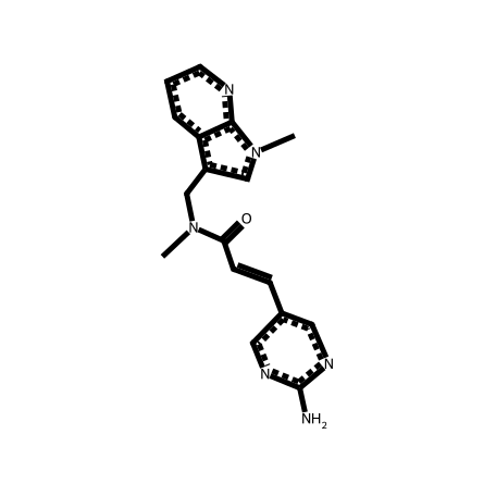 CN(Cc1cn(C)c2ncccc12)C(=O)C=Cc1cnc(N)nc1